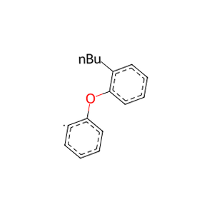 CCCCc1ccccc1Oc1[c]cccc1